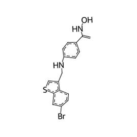 C=C(NO)c1ccc(NCc2csc3cc(Br)ccc23)cc1